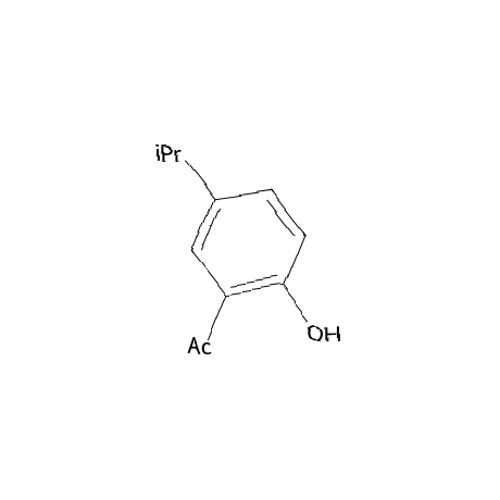 CC(=O)c1cc(C(C)C)ccc1O